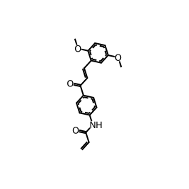 C=CC(=O)Nc1ccc(C(=O)C=Cc2cc(OC)ccc2OC)cc1